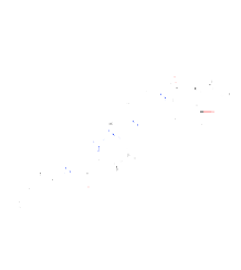 O=C(NCCC1CC1)c1ccc(N2CCN(C(=O)c3ccoc3C(F)(F)F)CC2)nn1